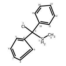 C[SiH2]C(Cl)(c1ccccc1)c1ccccc1